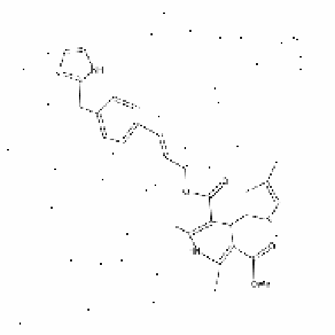 COC(=O)C1=C(C)NC(C)=C(C(=O)OCC=Cc2ccc(Cc3ncc[nH]3)cc2)C1c1cc(C)cs1